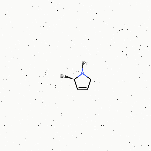 CCC(C)[C@@H]1C=CCN1C(C)C